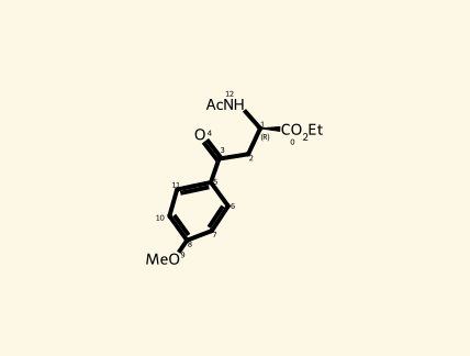 CCOC(=O)[C@@H](CC(=O)c1ccc(OC)cc1)NC(C)=O